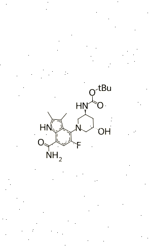 Cc1[nH]c2c(C(N)=O)cc(F)c(N3C[C@@H](O)C[C@H](NC(=O)OC(C)(C)C)C3)c2c1C